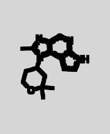 Cc1nc2cnc3[nH]ccc3c2n1C1CCOC(C)(C)C1